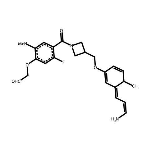 CNc1cc(C(=O)N2CC(COC3=C/C(=C/C=C\N)C(C)C=C3)C2)c(F)cc1OCC=O